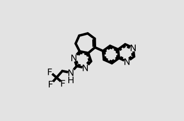 FC(F)(F)CNc1ncc2c(n1)CCCC=C2c1ccc2ncncc2c1